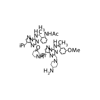 CC(=O)Nc1ccccc1C(C)Nc1nc(O[C@@H]2CCCNC2)nc2c(C(C)C)cnn12.COc1cccc([C@H](C)Nc2nc(CN3CCC(N)CC3)nc3c(C(C)C)cnn23)c1